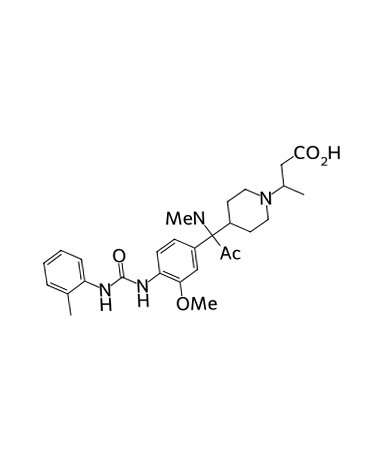 CNC(C(C)=O)(c1ccc(NC(=O)Nc2ccccc2C)c(OC)c1)C1CCN(C(C)CC(=O)O)CC1